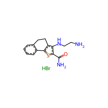 Br.NCCNc1c(C(N)=O)sc2c1CCc1ccccc1-2